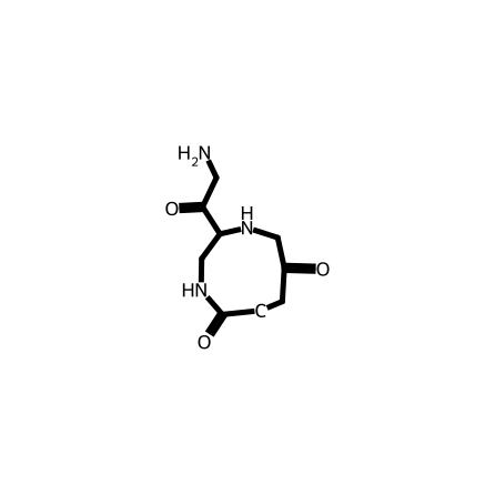 NCC(=O)C1CNC(=O)CCC(=O)CN1